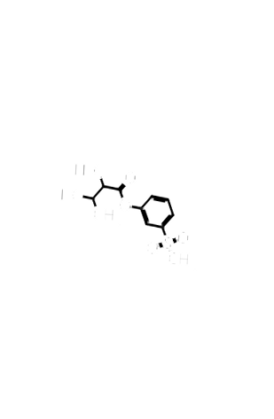 CC(C)C(C)C(=O)Oc1cccc(S(C)(=O)=O)c1